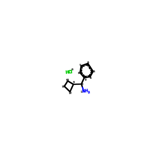 Cl.NC(c1ccccc1)C1CCC1